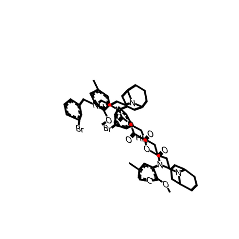 COc1ccc(C)cc1N(C(=O)OC(=O)C(=O)OC(=O)N(c1cc(C)ccc1OC)C1CC2CCCC(C1)N2CCCCNCc1cccc(Br)c1)C1CC2CCCC(C1)N2CCCCNCc1cccc(Br)c1